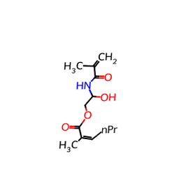 C=C(C)C(=O)NC(O)COC(=O)C(C)=CCCC